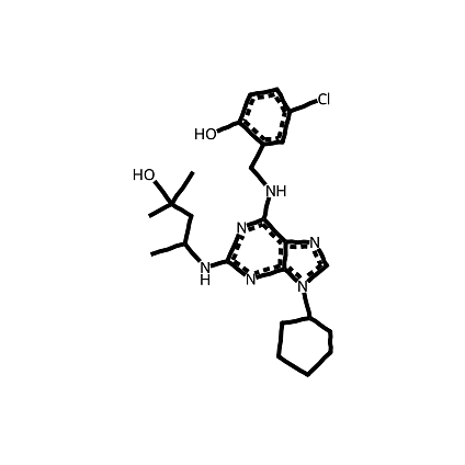 CC(CC(C)(C)O)Nc1nc(NCc2cc(Cl)ccc2O)c2ncn(C3CCCCC3)c2n1